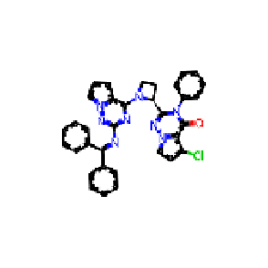 O=c1c2c(Cl)ccn2nc([C@@H]2CCN2c2nc(N=C(c3ccccc3)c3ccccc3)nn3cccc23)n1-c1ccccc1